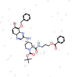 CC(C)(C)OC(=O)N1CC[C@H](NC2=NC3C(OCc4ccccc4)=C(Br)C=CC3N=C2)C[C@H]1C(=O)NCCCOC(=O)c1ccccc1